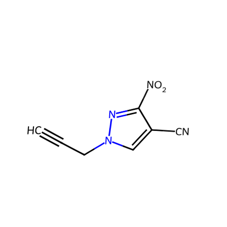 C#CCn1cc(C#N)c([N+](=O)[O-])n1